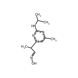 Cc1cc(C(C)C=NO)nc(NC(C)C)n1